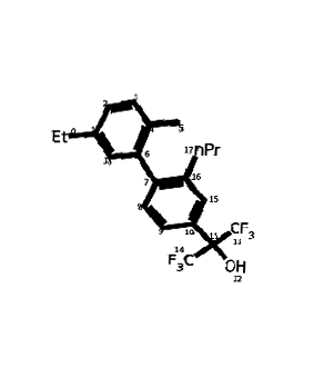 [CH2]Cc1ccc(C)c(-c2ccc(C(O)(C(F)(F)F)C(F)(F)F)cc2CCC)c1